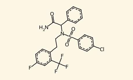 NC(=O)C(c1ccccc1)N(CCc1ccc(F)cc1C(F)(F)F)S(=O)(=O)c1ccc(Cl)cc1